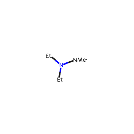 CCN(CC)[N]C